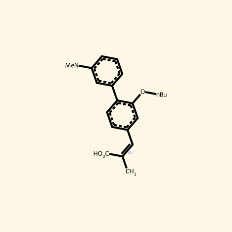 CCCCOc1cc(/C=C(/C)C(=O)O)ccc1-c1cccc(NC)c1